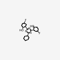 Oc1ccc(F)cc1-c1nc(-c2ccccc2)nc(-c2cc(F)ccc2O)n1